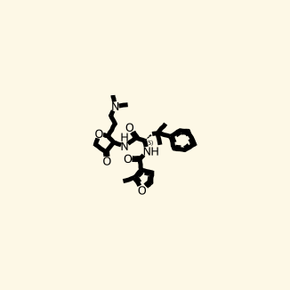 Cc1occc1C(=O)N[C@@H](CC(C)(C)c1ccccc1)C(=O)NC1C(=O)COC1CCN(C)C